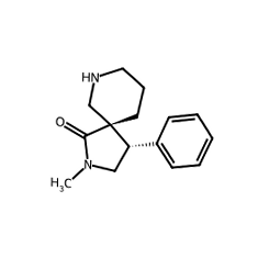 CN1C[C@@H](c2ccccc2)[C@]2(CCCNC2)C1=O